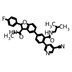 CNC(=O)C1c2cc(-c3ccc(-c4cncc(C#N)c4)c(C(=O)NCC(C)C)c3)ccc2OC1c1ccc(F)cc1